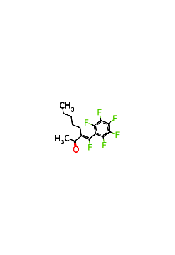 CCCCCC(C(C)=O)=C(F)c1c(F)c(F)c(F)c(F)c1F